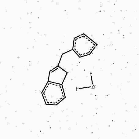 [CH]1C(Cc2ccccc2)=Cc2ccccc21.[F][Zr][F]